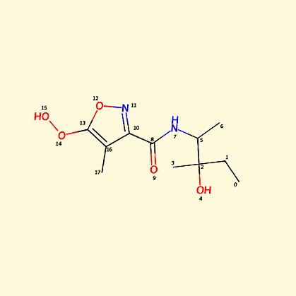 CCC(C)(O)C(C)NC(=O)c1noc(OO)c1C